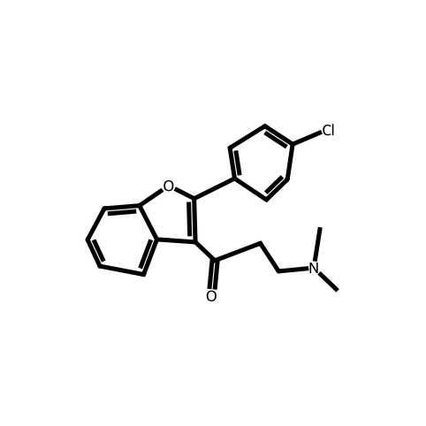 CN(C)CCC(=O)c1c(-c2ccc(Cl)cc2)oc2ccccc12